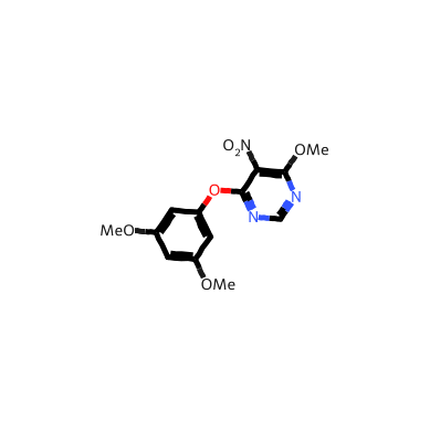 COc1cc(OC)cc(Oc2ncnc(OC)c2[N+](=O)[O-])c1